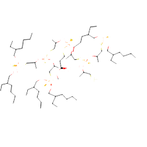 CCCCC(CC)COP(=S)(OCC(CC)CCCC)SCC(C)OP(=S)(OC(C)CS)SCC(C)OP(=S)(OC(C)CSP(=S)(OC(C)CSP(=S)(OCC(CC)CCCC)OCC(CC)CCCC)OC(C)CSP(=S)(OCC(CC)CCCC)OCC(CC)CCCC)SCCC(=O)OC